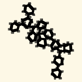 c1ccc(-c2ccc(-n3c4ccccc4c4cc(-c5cccc(C6(c7ccccc7)c7ccccc7N(c7nc(-c8ccccc8)nc(-c8ccccc8)n7)c7ccccc76)c5)ccc43)cc2)cc1